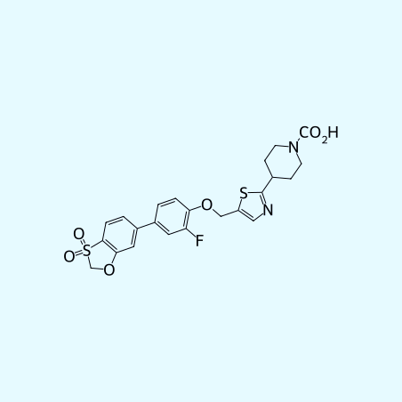 O=C(O)N1CCC(c2ncc(COc3ccc(-c4ccc5c(c4)OCS5(=O)=O)cc3F)s2)CC1